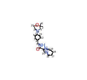 CC1(C)CN(c2ccc(CNC(=O)c3cn4ccccc4n3)cc2)CCO1